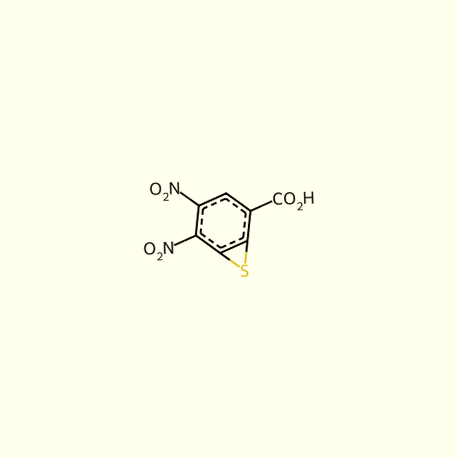 O=C(O)c1cc([N+](=O)[O-])c([N+](=O)[O-])c2c1S2